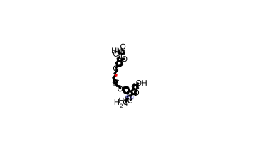 C=C/C=C\C(=C/C)C1COc2cc(O)ccc2C1c1ccc(OCCN2CC(CCCCOc3ccc4c(c3)CN(C3CCC(=O)NC3=O)C4=O)C2)cc1